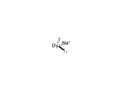 [I-].[I][Dy].[Na+]